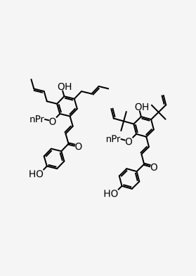 C=CC(C)(C)c1cc(C=CC(=O)c2ccc(O)cc2)c(OCCC)c(C(C)(C)C=C)c1O.CC=CCc1cc(C=CC(=O)c2ccc(O)cc2)c(OCCC)c(CC=CC)c1O